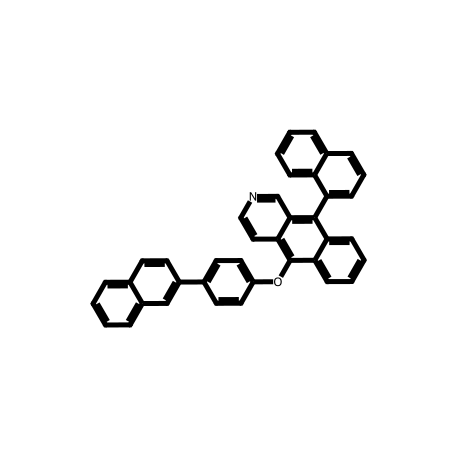 c1ccc2cc(-c3ccc(Oc4c5ccccc5c(-c5cccc6ccccc56)c5cnccc45)cc3)ccc2c1